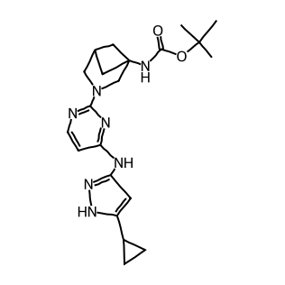 CC(C)(C)OC(=O)NC12CC(CN(c3nccc(Nc4cc(C5CC5)[nH]n4)n3)C1)C2